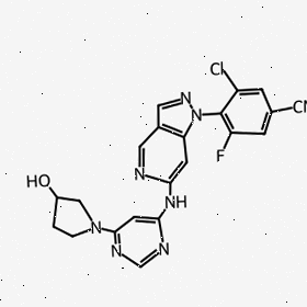 N#Cc1cc(F)c(-n2ncc3cnc(Nc4cc(N5CCC(O)C5)ncn4)cc32)c(Cl)c1